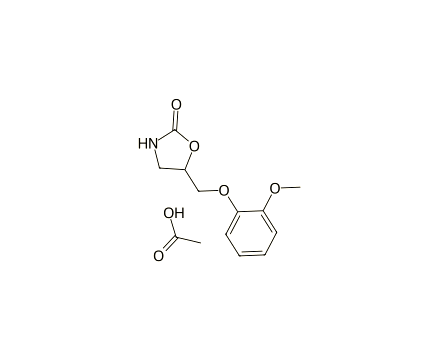 CC(=O)O.COc1ccccc1OCC1CNC(=O)O1